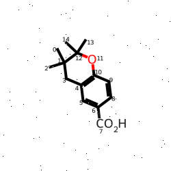 CC1(C)Cc2cc(C(=O)O)ccc2OC1(C)C